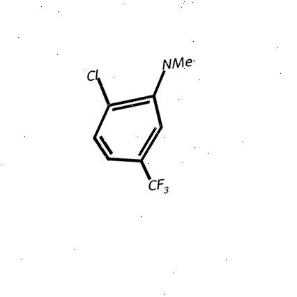 C[N]c1cc(C(F)(F)F)ccc1Cl